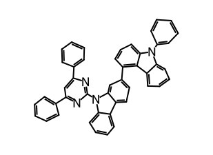 c1ccc(-c2cc(-c3ccccc3)nc(-n3c4ccccc4c4ccc(-c5cccc6c5c5ccccc5n6-c5ccccc5)cc43)n2)cc1